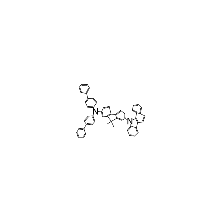 CC1(C)c2cc(N(c3ccc(-c4ccccc4)cc3)c3ccc(-c4ccccc4)cc3)ccc2-c2ccc(-n3c4ccccc4c4ccc5ccccc5c43)cc21